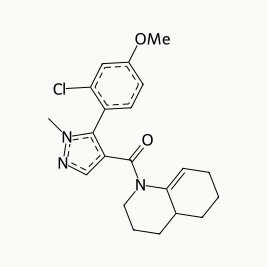 COc1ccc(-c2c(C(=O)N3CCCC4CCCC=C43)cnn2C)c(Cl)c1